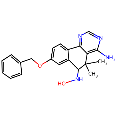 CC1(C)c2c(N)ncnc2-c2ccc(OCc3ccccc3)cc2C1NO